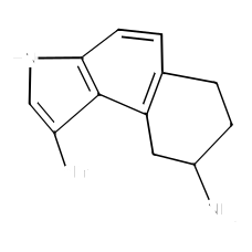 CCCc1c[nH]c2ccc3c(c12)CC(N)CC3